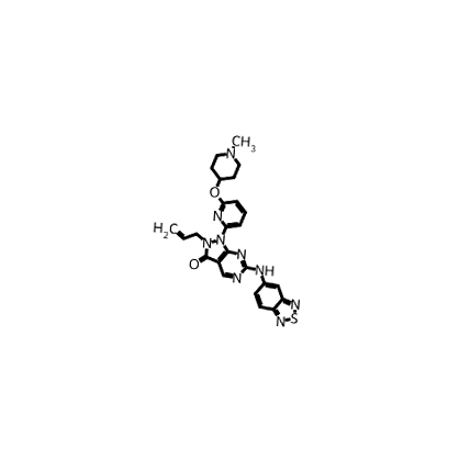 C=CCn1c(=O)c2cnc(Nc3ccc4nsnc4c3)nc2n1-c1cccc(OC2CCN(C)CC2)n1